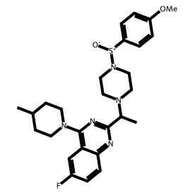 COc1ccc([S+]([O-])N2CCN(C(C)c3nc(N4CCC(C)CC4)c4cc(F)ccc4n3)CC2)cc1